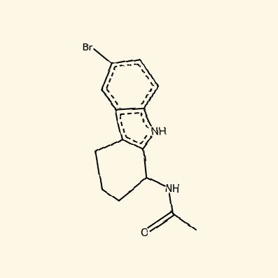 CC(=O)NC1CCCc2c1[nH]c1ccc(Br)cc21